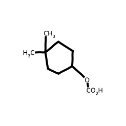 CC1(C)CCC(OC(=O)O)CC1